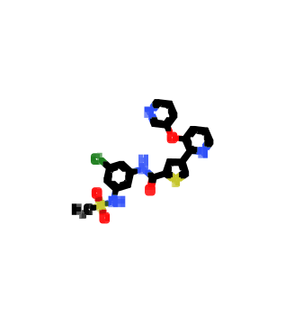 CS(=O)(=O)Nc1cc(Cl)cc(NC(=O)c2cc(-c3ncccc3Oc3cccnc3)cs2)c1